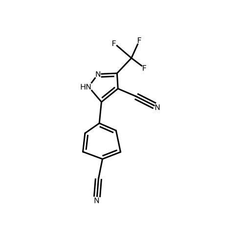 N#Cc1ccc(-c2[nH]nc(C(F)(F)F)c2C#N)cc1